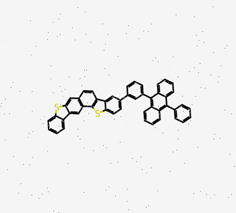 c1ccc(-c2c3ccccc3c(-c3cccc(-c4ccc5sc6c7cc8c(cc7ccc6c5c4)sc4ccccc48)c3)c3ccccc23)cc1